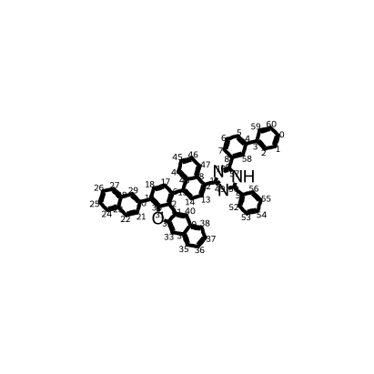 c1ccc(-c2cccc(C3=NC(c4ccc(-c5ccc(-c6ccc7ccccc7c6)c6oc7cc8ccccc8cc7c56)c5ccccc45)=NC(c4ccccc4)N3)c2)cc1